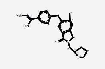 CN/C=C(\N)c1ccc(Cc2cc3c(cc2C)CN(CC2CCCO2)C3=O)cc1